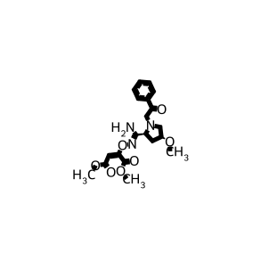 COC(=O)C=C(O/N=C(\N)[C@@H]1C[C@@H](OC)CN1CC(=O)c1ccccc1)C(=O)OC